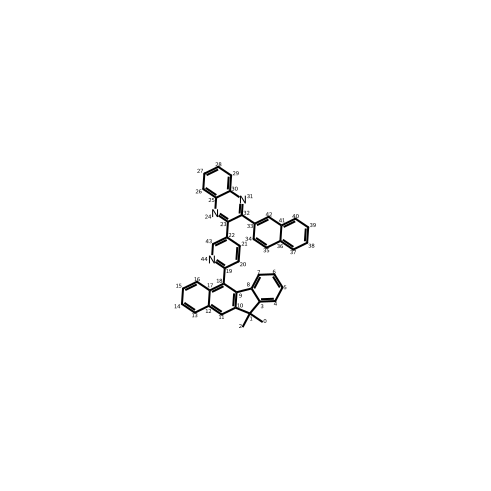 CC1(C)c2ccccc2-c2c1cc1ccccc1c2-c1ccc(-c2nc3ccccc3nc2-c2ccc3ccccc3c2)cn1